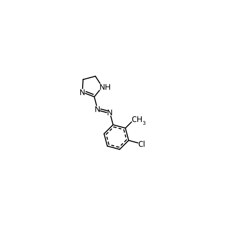 Cc1c(Cl)cccc1N=NC1=NCCN1